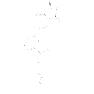 CCCCOC(=O)c1cccc(CON2C(=O)c3ccccc3C2=O)c1